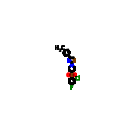 Cc1ccc(-c2csc(N3CCC(S(=O)(=O)c4ccc(F)cc4Cl)CC3)n2)cc1